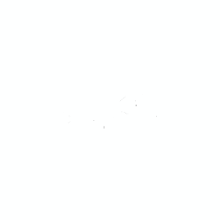 Cc1cc(OCC2(O)CCS(=O)(=O)CC2)ccc1Br